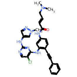 CN(C)C/C=C/C(=O)Nc1ccc(C#Cc2ccccc2)c(Nc2nc(Nc3cnn(C)c3)ncc2Cl)c1